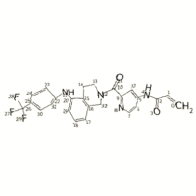 C=CC(=O)Nc1ccnc(C(=O)N2CCc3c(cccc3Nc3ccc(C(F)(F)F)cc3)C2)c1